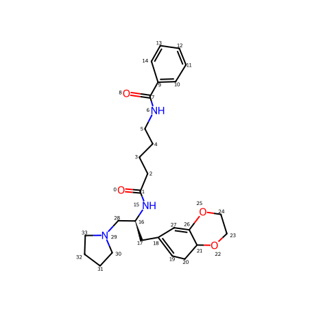 O=C(CCCCNC(=O)c1ccccc1)N[C@@H](CC1=CCC2OCCOC2=C1)CN1CCCC1